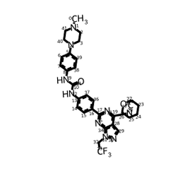 CN1CCN(c2ccc(NC(=O)Nc3ccc(-c4nc(N5CC6CCC5CO6)c5cnn(CC(F)(F)F)c5n4)cc3)cc2)CC1